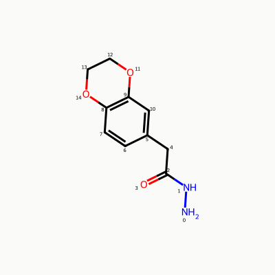 NNC(=O)Cc1ccc2c(c1)OCCO2